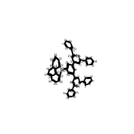 c1ccc(-c2cc(-c3cc(-c4cc(-c5ccccc5)nc(-c5ccccc5)c4)cc(-n4c5cccc6ccc7cccc4c7c65)c3)cc(-c3ccccc3)n2)cc1